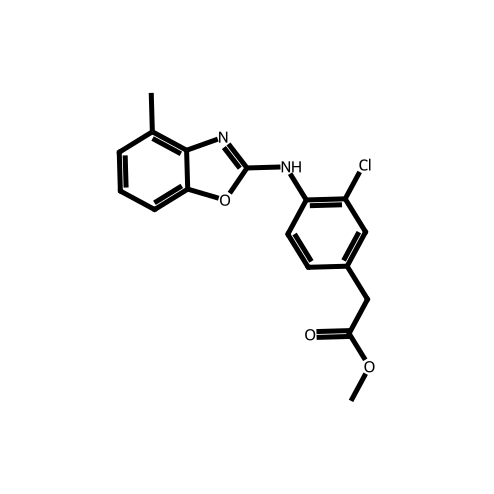 COC(=O)Cc1ccc(Nc2nc3c(C)cccc3o2)c(Cl)c1